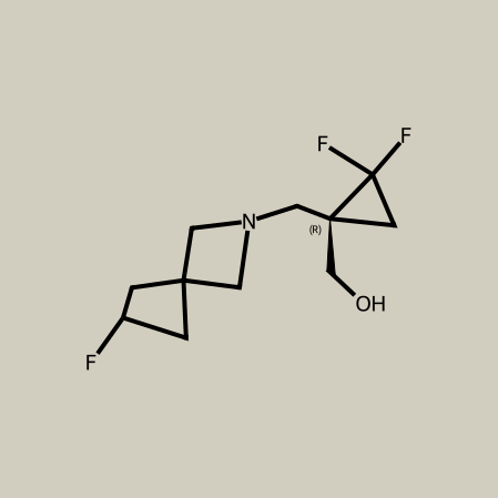 OC[C@]1(CN2CC3(CC(F)C3)C2)CC1(F)F